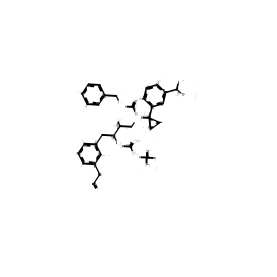 C=CCc1cccc(CC(NC(=O)OC(C)(C)C)C(O)CN(C(=O)OCc2ccccc2)C2(c3cccc(C(C)C)c3)CC2)c1